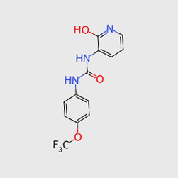 O=C(Nc1ccc(OC(F)(F)F)cc1)Nc1cccnc1O